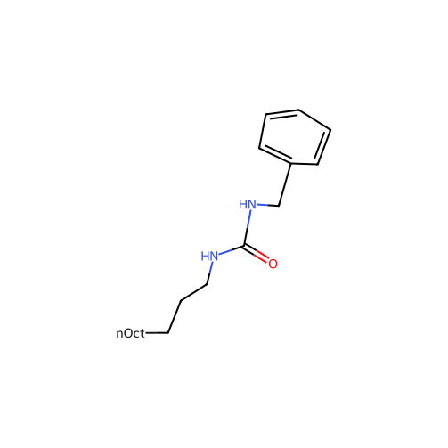 CCCCCCCCCCCNC(=O)NCc1ccccc1